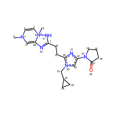 CN1C=C[N+]2(C)NC(CCc3nc(N4CCCC4=O)cn3CC3CC3)=NC2=C1